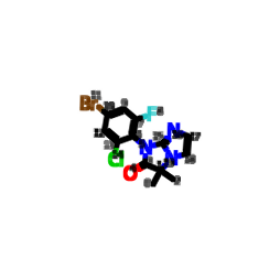 CC1(C)C(=O)N(c2c(F)cc(Br)cc2Cl)c2nccn21